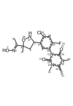 CC(=NO)C1(C)CC(c2cc(-n3c(=O)n(C)c(=S)n(C)c3=O)c(F)cc2Cl)NO1